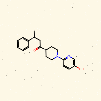 CC(CC(=O)C1CCN(c2ccc(O)cn2)CC1)c1ccccc1